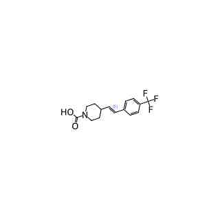 O=C(O)N1CCC(/C=C/c2ccc(C(F)(F)F)cc2)CC1